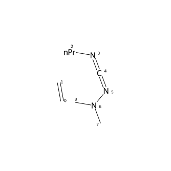 C=C.CCCN=C=NN(C)C